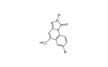 CCn1nc2cc(C(=O)O)c3cc(Br)ccc3n2c1=O